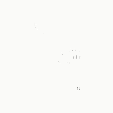 CCCN(c1ccncc1)[N+]1(N(C(=O)[O-])c2ccc3[nH]ccc3c2)CCCCC1